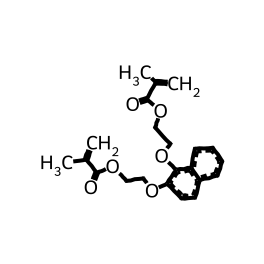 C=C(C)C(=O)OCCOc1ccc2ccccc2c1OCCOC(=O)C(=C)C